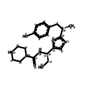 C[C@@H](Cc1ccc(O)cc1)c1nnc([C@H](CO)NC(=O)N2CCNCC2)o1